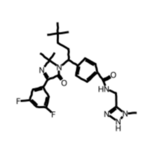 Cn1[nH]nc1CNC(=O)c1ccc(C(CCC(C)(C)C)N2C(=O)C(c3cc(F)cc(F)c3)=NC2(C)C)cc1